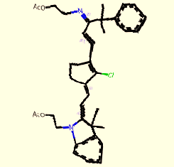 CC(=O)OCC/N=C(\C=C\C1=C(Cl)C(=C/C=C2/N(CCOC(C)=O)c3ccccc3C2(C)C)/CC1)C(C)(C)c1ccccc1